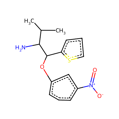 CC(C)C(N)C(Oc1cccc([N+](=O)[O-])c1)c1cccs1